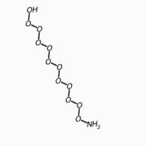 NOOOOOOOOOOOO